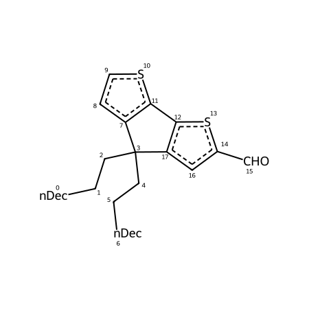 CCCCCCCCCCCCC1(CCCCCCCCCCCC)c2ccsc2-c2sc(C=O)cc21